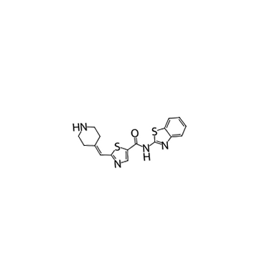 O=C(Nc1nc2ccccc2s1)c1cnc(C=C2CCNCC2)s1